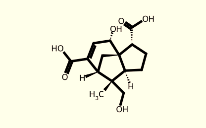 C[C@@]1(CO)[C@H]2C[C@@]3([C@@H](O)C=C2C(=O)O)[C@H](C(=O)O)CC[C@@H]13